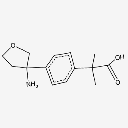 CC(C)(C(=O)O)c1ccc(C2(N)CCOC2)cc1